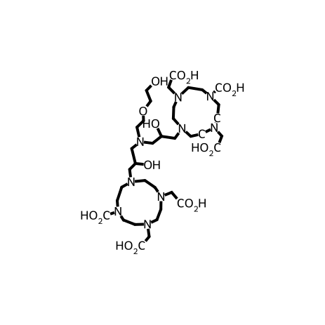 O=C(O)CN1CCN(CC(=O)O)CCN(C(=O)O)CCN(CC(O)CN(CCOCCO)CC(O)CN2CCN(CC(=O)O)CCN(C(=O)O)CCN(CC(=O)O)CC2)CC1